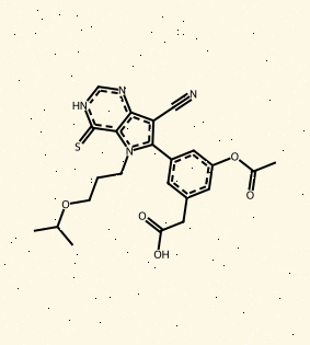 CC(=O)Oc1cc(CC(=O)O)cc(-c2c(C#N)c3nc[nH]c(=S)c3n2CCCOC(C)C)c1